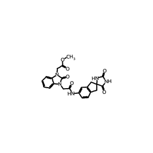 COC(=O)Cn1c(=O)n(CC(=O)Nc2ccc3c(c2)CC2(C3)NC(=O)NC2=O)c2ccccc21